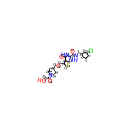 O=C(NCc1cccc(Cl)c1)c1nc2scc(COCC3CCN(C(=O)CO)CC3)c2c(=O)[nH]1